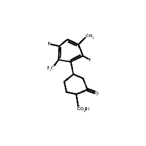 CCOC(=O)C1CCC(c2c(F)c(C)cc(F)c2C(F)(F)F)CC1=O